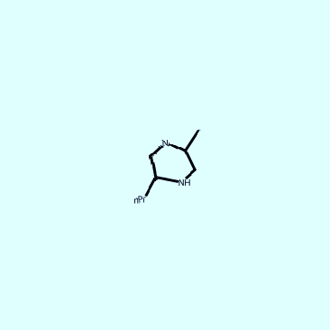 CCCC1C[N]C(C)CN1